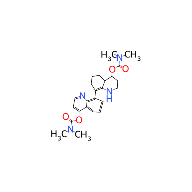 CN(C)C(=O)Oc1ccnc2c(C3=C4NCCC(OC(=O)N(C)C)C4CCC3)cccc12